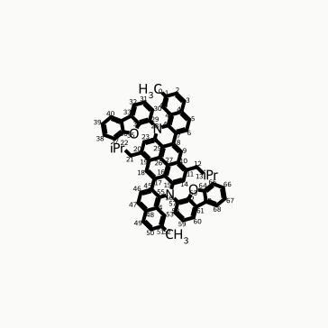 Cc1ccc2ccc3c4cc5c(CC(C)C)cc6c7c(cc8c(CC(C)C)cc(c4c8c57)n(-c4cccc5c4oc4ccccc45)c3c2c1)c1ccc2ccc(C)cc2c1n6-c1cccc2c1oc1ccccc12